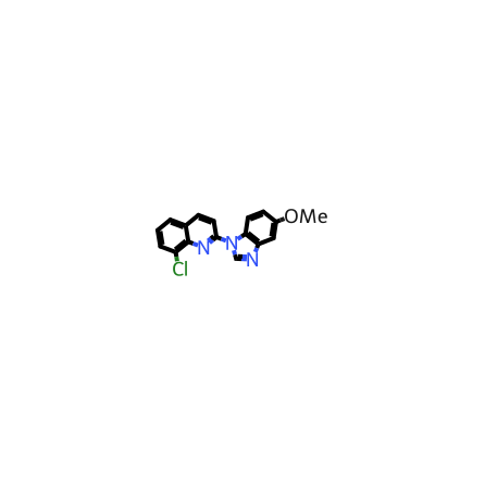 COc1ccc2c(c1)ncn2-c1ccc2cccc(Cl)c2n1